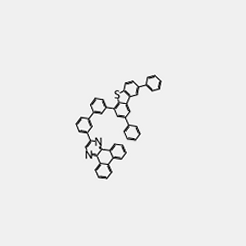 c1ccc(-c2ccc3sc4c(-c5cccc(-c6cccc(-c7cnc8c9ccccc9c9ccccc9c8n7)c6)c5)cc(-c5ccccc5)cc4c3c2)cc1